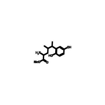 COC(=O)C(N)CC(C)C(C)c1cc(O)ccc1O